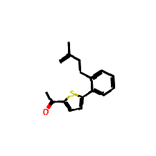 C=C(C)CCc1ccccc1-c1ccc(C(C)=O)s1